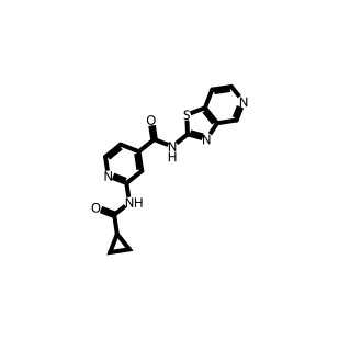 O=C(Nc1nc2cnccc2s1)c1ccnc(NC(=O)C2CC2)c1